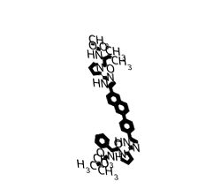 COC(=O)N[C@H](C(=O)N1CCC[C@H]1c1ncc(-c2ccc3cc(-c4ccc(-c5cnc([C@@H]6CCCN6C(=O)[C@H](NC(=O)OC(C)(C)C)c6ccccc6)[nH]5)cc4)ccc3c2)[nH]1)C(C)C